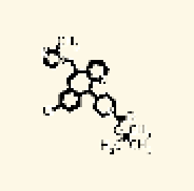 Cc1nccn1CC1=Cc2cc(Cl)ccc2C(C2CCN(C(=O)OC(C)(C)C)CC2)c2ncccc21